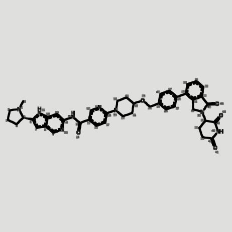 CN1CCC[C@@H]1c1cc2cnc(NC(=O)c3ccc(N4CCC(OCc5ccc(-c6cccc7c6CN(C6CCC(=O)NC6=O)C7=O)cc5)CC4)nc3)cc2[nH]1